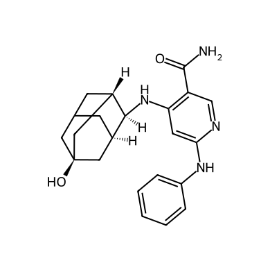 NC(=O)c1cnc(Nc2ccccc2)cc1N[C@H]1[C@@H]2CC3C[C@H]1C[C@@](O)(C3)C2